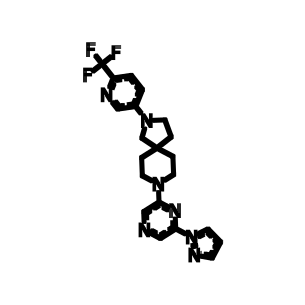 FC(F)(F)c1ccc(N2CCC3(CCN(c4cncc(-n5cccn5)n4)CC3)C2)cn1